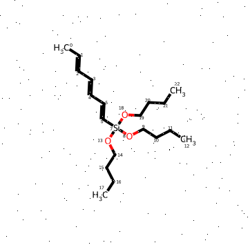 CC=CC=CC=C[Si](OCCCC)(OCCCC)OCCCC